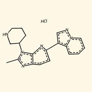 Cc1nc2ccc(-c3cnn4ccccc34)nc2n1C1CCCNC1.Cl